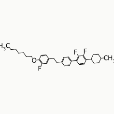 CCCCCCCOc1ccc(CCc2ccc(-c3ccc(C4CCC(C)CC4)c(F)c3F)cc2)cc1F